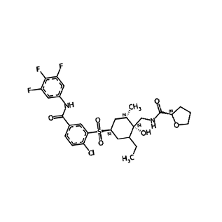 CCC1C[C@@H](S(=O)(=O)c2cc(C(=O)Nc3cc(F)c(F)c(F)c3)ccc2Cl)C[C@H](C)[C@@]1(O)CNC(=O)[C@H]1CCCO1